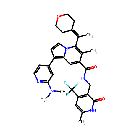 CC(=C1CCOCC1)c1c(C)c(C(=O)NCc2c(C(F)(F)F)cc(C)[nH]c2=O)cc2c(-c3ccnc(N(C)C)c3)ccn12